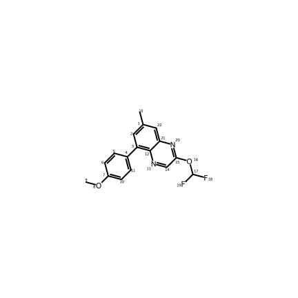 [CH2]c1cc(-c2ccc(OC)cc2)c2ncc(OC(F)F)nc2c1